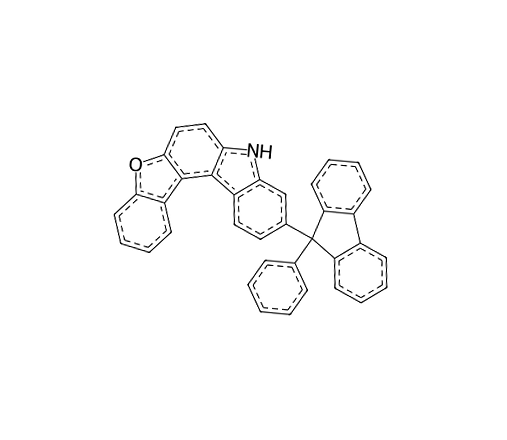 c1ccc(C2(c3ccc4c(c3)[nH]c3ccc5oc6ccccc6c5c34)c3ccccc3-c3ccccc32)cc1